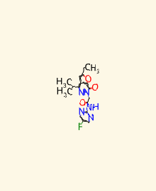 CCc1cc2c(C(C)C)nn(CC(=O)Nc3ncc(F)cn3)c(=O)c2o1